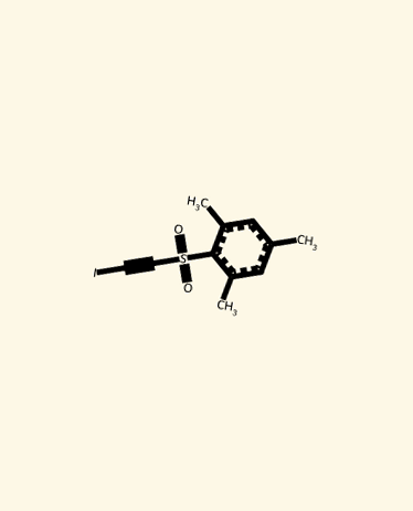 Cc1cc(C)c(S(=O)(=O)C#CI)c(C)c1